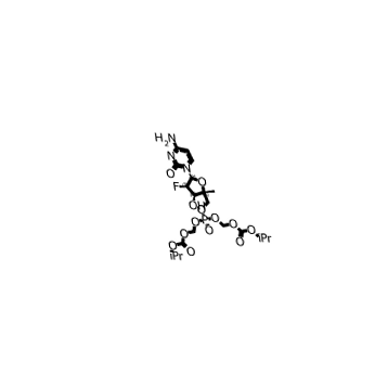 CC(C)OC(=O)OCOP(=O)(OCOC(=O)OC(C)C)OC[C@@]1(C)O[C@@H](n2ccc(N)nc2=O)[C@H](F)[C@@H]1O